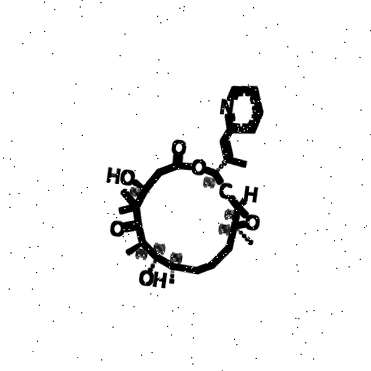 CC(=Cc1ccccn1)[C@@H]1C[C@@H]2O[C@@]2(C)CCC[C@H](C)[C@H](O)[C@@H](C)C(=O)C(C)(C)[C@@H](O)CC(=O)O1